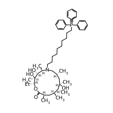 CC[C@H]1OC(=O)[C@H](C)C[C@H](C)[C@@H](C)[C@](C)(O)C[C@@H](C)CN(CCCCCCCCCC[PH](c2ccccc2)(c2ccccc2)c2ccccc2)[C@H](C)[C@@H](O)[C@]1(C)O